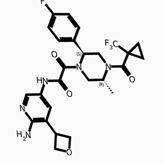 C[C@@H]1CN(C(=O)C(=O)Nc2cnc(N)c(C3COC3)c2)[C@@H](c2ccc(F)cc2)CN1C(=O)C1(C(F)(F)F)CC1